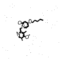 CCCCCOc1ccn(Cc2ncc(C)c(OC)c2C)c(=O)c1